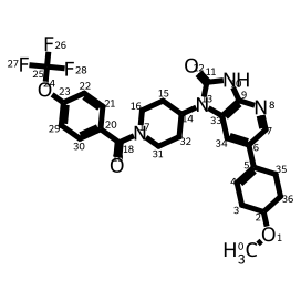 COC1CC=C(c2cnc3[nH]c(=O)n(C4CCN(C(=O)c5ccc(OC(F)(F)F)cc5)CC4)c3c2)CC1